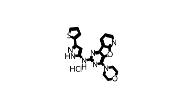 Cl.c1csc(-c2cc(Nc3nc(N4CCOCC4)c4oc5ncccc5c4n3)[nH]n2)c1